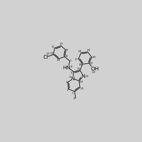 Cc1ccn2c(NCc3cccc(Cl)c3)c(-c3ccccc3O)nc2c1